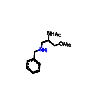 COCC(CNCc1ccccc1)NC(C)=O